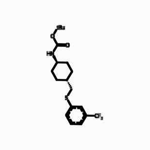 CC(C)(C)OC(=O)N[C@H]1CC[C@H](CSc2cccc(C(F)(F)F)c2)CC1